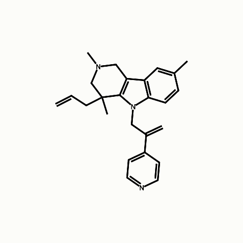 C=CCC1(C)CN(C)Cc2c1n(CC(=C)c1ccncc1)c1ccc(C)cc21